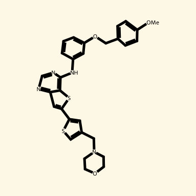 COc1ccc(COc2cccc(Nc3ncnc4cc(-c5cc(CN6CCOCC6)cs5)sc34)c2)cc1